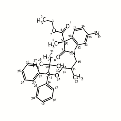 CCOC(=O)[C@@]1(C)C(=O)N(CC(C)CO[Si](c2ccccc2)(c2ccccc2)C(C)(C)C)c2cc(Br)ccc21